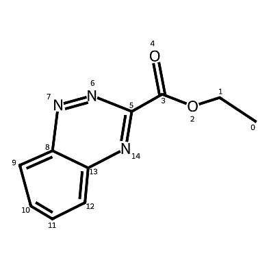 CCOC(=O)c1nnc2ccccc2n1